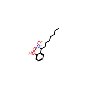 CCCCCCCC(c1ccccc1O)[N+](=O)[O-]